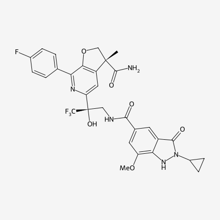 COc1cc(C(=O)NC[C@](O)(c2cc3c(c(-c4ccc(F)cc4)n2)OC[C@]3(C)C(N)=O)C(F)(F)F)cc2c(=O)n(C3CC3)[nH]c12